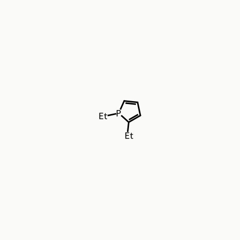 CCc1cccp1CC